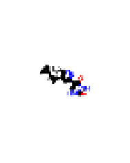 Cc1nnc(-c2c[nH]c(=O)[nH]c2=O)cc1[C@@H]1C[C@H]1C1CC1